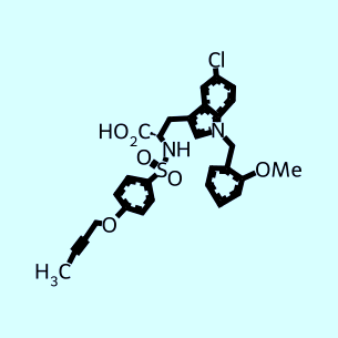 CC#CCOc1ccc(S(=O)(=O)N[C@@H](Cc2cn(Cc3ccccc3OC)c3ccc(Cl)cc23)C(=O)O)cc1